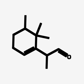 CC(C=O)C1=CCCC(C)C1(C)C